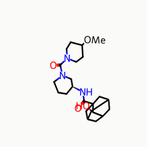 COC1CCN(C(=O)N2CCC[C@H](NC(=O)C34CC5CC(C3)C(O)C(C5)C4)C2)CC1